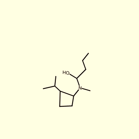 CCCC(O)N(C)C1CCC1C(C)C